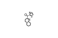 O=C(c1ccc2ccccc2n1)c1nccs1